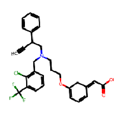 C#CC(CN(CCCOC1=CC=CC(=CC(=O)O)C1)Cc1cccc(C(F)(F)F)c1Cl)c1ccccc1